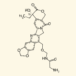 CC[C@@]1(O)C(=O)OCc2c1cc1n(c2=O)Cc2c-1nc1cc3c(cc1c2COCNC(=O)CN)OCO3